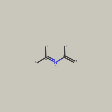 C=C(C)N=C(C)C